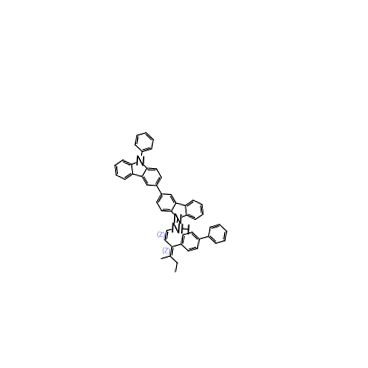 CC/C(C)=C(/C=C\Nn1c2ccccc2c2cc(-c3ccc4c(c3)c3ccccc3n4-c3ccccc3)ccc21)c1ccc(-c2ccccc2)cc1